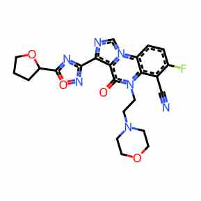 N#Cc1c(F)ccc2c1n(CCN1CCOCC1)c(=O)c1c(-c3noc(C4CCCO4)n3)ncn12